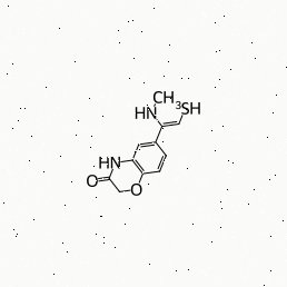 CN/C(=C\S)c1ccc2c(c1)NC(=O)CO2